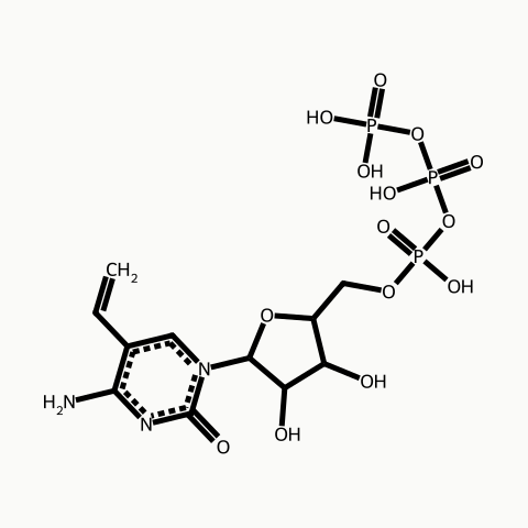 C=Cc1cn(C2OC(COP(=O)(O)OP(=O)(O)OP(=O)(O)O)C(O)C2O)c(=O)nc1N